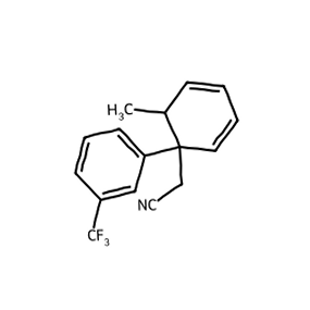 CC1C=CC=CC1(CC#N)c1cccc(C(F)(F)F)c1